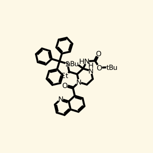 CCCCC1(NC(=O)OC(C)(C)C)NCCN(C(=O)c2cccc3cccnc23)C1C(CC)SC(c1ccccc1)(c1ccccc1)c1ccccc1